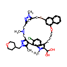 Cc1c2c(nn1CC1CCOCC1)CN(C)Cc1cc(n(C)n1)CSc1cc(c3ccccc3c1)OCCCc1c(C(O)O)n(C)c3c-2c(Cl)ccc13